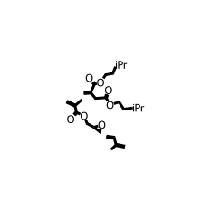 C=C(C)C(=O)OCC1CO1.C=C(CC(=O)OCCC(C)C)C(=O)OCCC(C)C.C=CC(=C)C